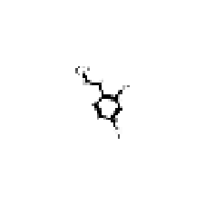 Fc1cc(Cl)ccc1[CH]CCl